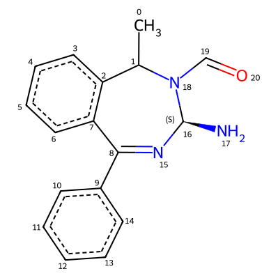 CC1c2ccccc2C(c2ccccc2)=N[C@H](N)N1C=O